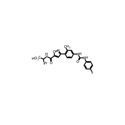 Cc1cc(NC(=O)Nc2ccc(F)cc2)ccc1-c1cc(C(=O)NC(C(=O)O)C(C)C)on1